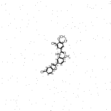 COc1c(Cl)cc(C(=O)Nc2cc(-c3nc4cc(Cl)ccc4o3)ccc2C)cc1Cl